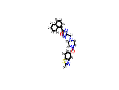 Cc1nc2cc(ON3C[CH]N(Cc4noc(-c5cccc6ccccc56)n4)CC3)ccc2s1